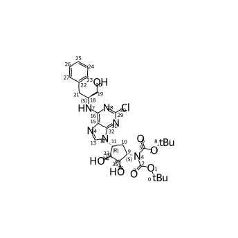 CC(C)(C)OC(=O)N(C(=O)OC(C)(C)C)[C@H]1C[C@@H](n2cnc3c(N[C@H](CO)Cc4ccccc4)nc(Cl)nc32)[C@H](O)[C@@H]1O